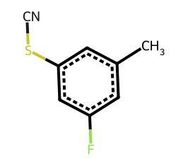 Cc1cc(F)cc(SC#N)c1